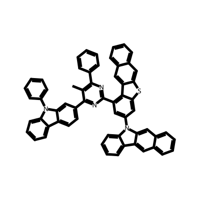 Cc1c(-c2ccccc2)nc(-c2cc(-n3c4ccccc4c4cc5ccccc5cc43)cc3sc4cc5ccccc5cc4c23)nc1-c1ccc2c3ccccc3n(-c3ccccc3)c2c1